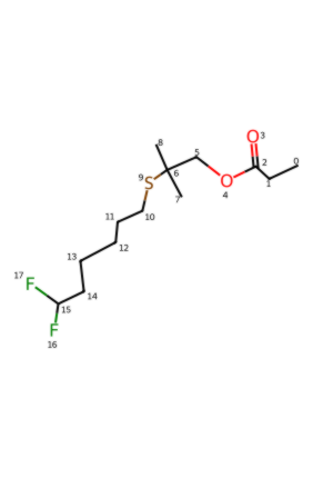 CCC(=O)OCC(C)(C)SCCCCCC(F)F